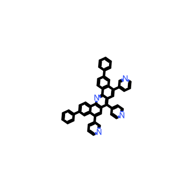 c1ccc(-c2ccc3c(c2)c(-c2cccnc2)cc2c(-c4ccncc4)c4cc(-c5cccnc5)c5cc(-c6ccccc6)ccc5c4nc23)cc1